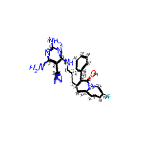 N#Cc1c(N)nc(N)nc1NCCCc1cc2ccc(F)cn2c(=O)c1-c1ccccc1